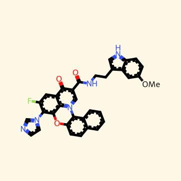 COc1ccc2[nH]cc(CCNC(=O)c3cn4c5c(c(-n6ccnc6)c(F)cc5c3=O)Oc3ccc5ccccc5c3-4)c2c1